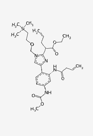 C=CCC(=O)Nc1cc(NC(=O)OC)ccc1-c1cn(COCC[Si](C)(C)C)c(C(CC=C)C(=O)OCC)n1